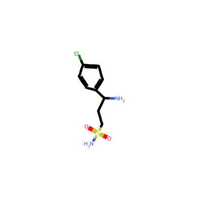 NC(CCS(N)(=O)=O)c1ccc(Cl)cc1